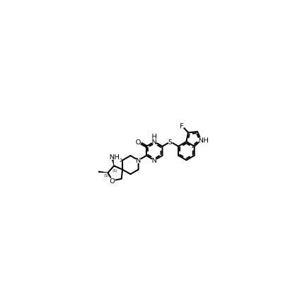 C[C@@H]1OCC2(CCN(c3ncc(Sc4cccc5[nH]cc(F)c45)[nH]c3=O)CC2)[C@@H]1N